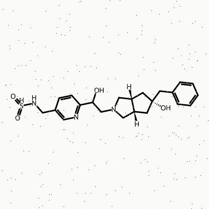 O=[SH](=O)NCc1ccc(C(O)CN2C[C@@H]3C[C@@](O)(Cc4ccccc4)C[C@@H]3C2)nc1